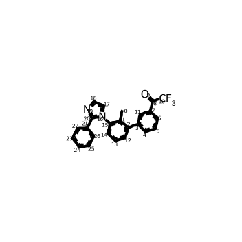 Cc1c(-c2cccc(C(=O)C(F)(F)F)c2)cccc1-n1ccnc1-c1ccccc1